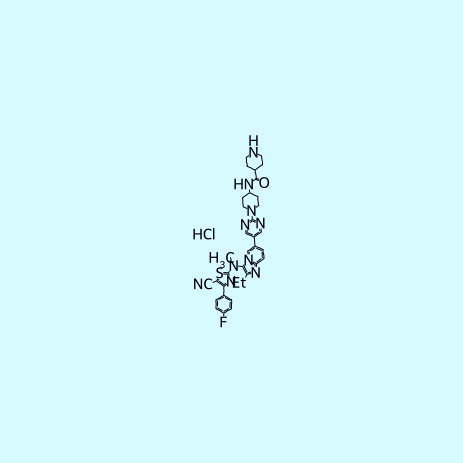 CCc1nc2ccc(-c3cnc(N4CCC(NC(=O)C5CCNCC5)CC4)nc3)cn2c1N(C)c1nc(-c2ccc(F)cc2)c(C#N)s1.Cl